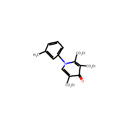 CCOC(=O)c1cn(-c2cccc(C)c2)c(C(=O)OCC)c(C(=O)OCC)c1=O